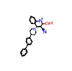 CN1c2ccccc2C(N2CCC(c3ccc(-c4ccccc4)cc3)CC2)=C(C#N)C1O